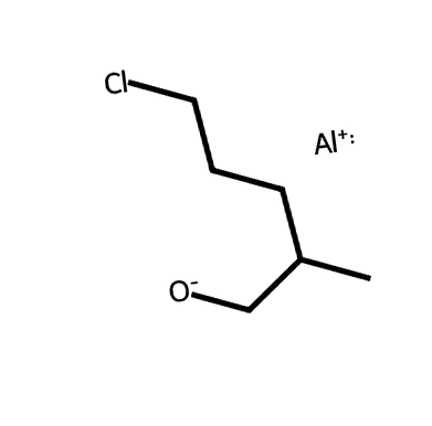 CC(C[O-])CCCCl.[Al+]